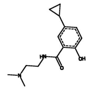 CN(C)CCNC(=O)c1cc(C2CC2)ccc1O